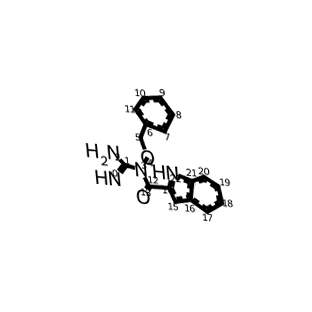 N=C(N)N(OCc1ccccc1)C(=O)c1cc2ccccc2[nH]1